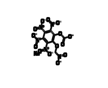 O=C([O-])Oc1c(OC[N+](=O)[O-])c([N+](=O)[O-])c([N+](=O)[O-])c([N+](=O)[O-])c1[N+](=O)[O-].[Na+]